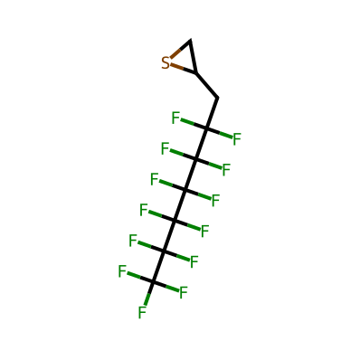 FC(F)(F)C(F)(F)C(F)(F)C(F)(F)C(F)(F)C(F)(F)CC1CS1